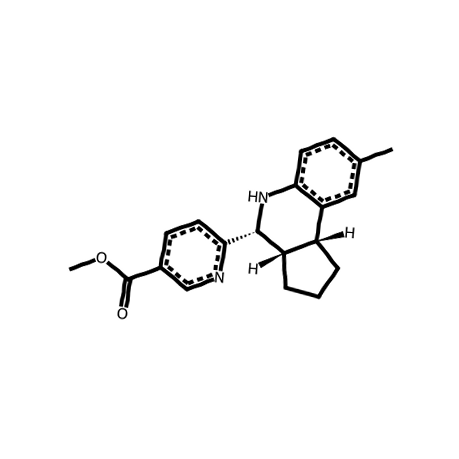 COC(=O)c1ccc([C@@H]2Nc3ccc(C)cc3[C@@H]3CCC[C@@H]32)nc1